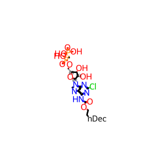 CCCCCCCCCCCCOC(=O)Nc1nc(Cl)nc2c1ncn2[C@@H]1O[C@H](COP(=O)(O)CP(=O)(O)O)C(O)[C@@H]1O